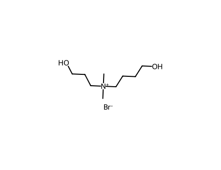 C[N+](C)(CCCO)CCCCO.[Br-]